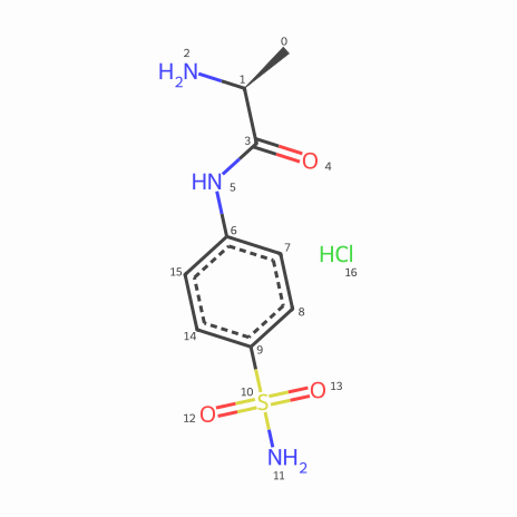 C[C@H](N)C(=O)Nc1ccc(S(N)(=O)=O)cc1.Cl